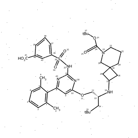 Cc1cccc(C)c1-c1cc(OC[C@@H](CC(C)(C)C)NC2CC3(CCCN(C(=O)OC(C)(C)C)C3)C2)nc(NS(=O)(=O)c2cccc(C(=O)O)c2)n1